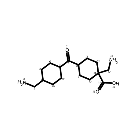 NCC1CCC(C(=O)C2CCC(CN)(C(=O)O)CC2)CC1